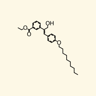 CCCCCCCCCCOc1ccc(C=C(CO)c2cccc(C(=O)OCC)c2)cc1